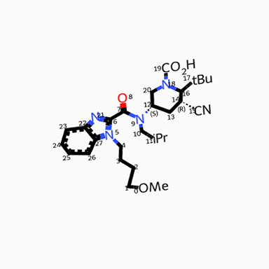 COCCCCn1c(C(=O)N(CC(C)C)[C@H]2C[C@@H](C#N)C(C(C)(C)C)N(C(=O)O)C2)nc2ccccc21